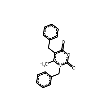 Cc1c(Cc2ccccc2)c(=O)oc(=O)n1Cc1ccccc1